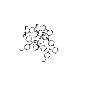 C=CC1=CC=C(C2(c3ccc(F)cc3)C3C=CC=CC3C3C=CC(N(C4=CC=CC5C6=C(OC45)C(N(C4=CC5C(C=C4)c4ccccc4C5(c4ccc(C=C)cc4)C4CC=C(F)CC4)C4CC(F)=C(F)CC4F)CC=C6)C4=C(F)CC(F)C(F)C4)=CC32)CC1